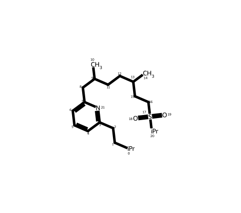 CC(C)CCc1cccc(CC(C)CCC(C)CCS(=O)(=O)C(C)C)n1